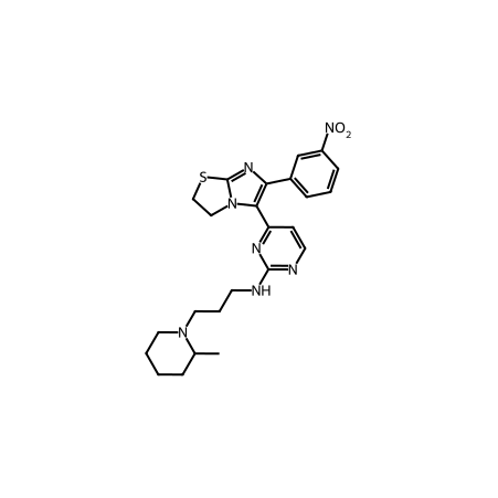 CC1CCCCN1CCCNc1nccc(-c2c(-c3cccc([N+](=O)[O-])c3)nc3n2CCS3)n1